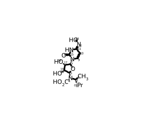 CC(C)[C@H](C)N(C(=O)O)[C@@H]1O[C@@H](n2cc/c(=N/O)[nH]c2=O)[C@H](O)[C@@H]1O